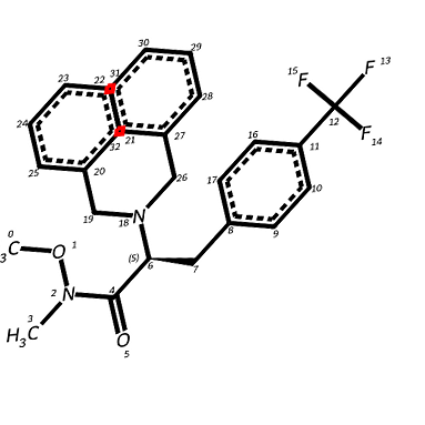 CON(C)C(=O)[C@H](Cc1ccc(C(F)(F)F)cc1)N(Cc1ccccc1)Cc1ccccc1